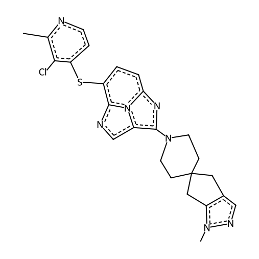 Cc1nccc(Sc2ccc3nc(N4CCC5(CC4)Cc4cnn(C)c4C5)c4cnc2n34)c1Cl